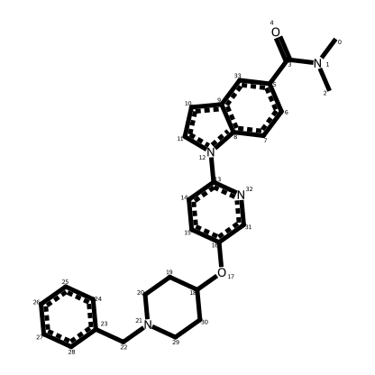 CN(C)C(=O)c1ccc2c(ccn2-c2ccc(OC3CCN(Cc4ccccc4)CC3)cn2)c1